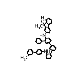 Cc1cccc(-c2ccc(Nc3ccccc3-c3cccc(-c4ccc(Nc5ccc6c(c5)C(C)(C)c5ccccc5-6)c(-c5ccccc5)c4)c3)cc2)c1